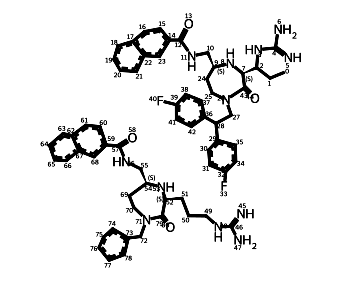 CCC(NC(=N)N)[C@@H]1N[C@H](CNC(=O)c2ccc3ccccc3c2)CCN(CC(c2ccc(F)cc2)c2ccc(F)cc2)C1=O.N=C(N)NCCC[C@@H]1N[C@H](CNC(=O)c2ccc3ccccc3c2)CCN(Cc2ccccc2)C1=O